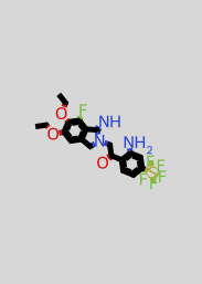 CCOc1cc2c(c(F)c1OCC)C(=N)N(CC(=O)c1ccc(S(F)(F)(F)(F)F)cc1N)C2